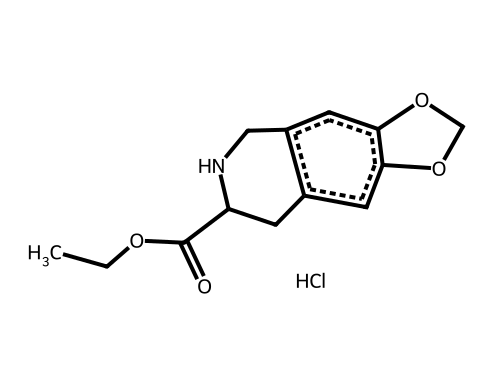 CCOC(=O)C1Cc2cc3c(cc2CN1)OCO3.Cl